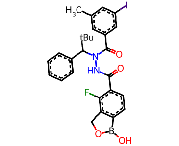 Cc1cc(I)cc(C(=O)N(NC(=O)c2ccc3c(c2F)COB3O)C(c2ccccc2)C(C)(C)C)c1